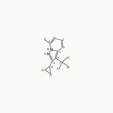 Cc1cccc2c(C(C)(C)C)c(C3CC3)nn12